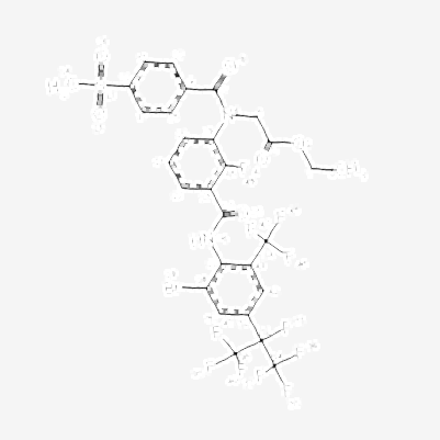 CCOC(=O)CN(C(=O)c1ccc(S(C)(=O)=O)cc1)c1cccc(C(=O)Nc2c(Br)cc(C(F)(C(F)(F)F)C(F)(F)F)cc2C(F)(F)F)c1F